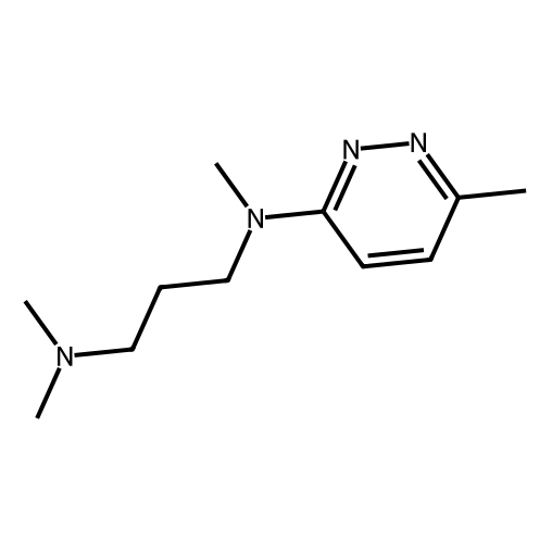 Cc1ccc(N(C)CCCN(C)C)nn1